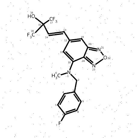 CN(Cc1ccc(F)cc1)c1cc(/C=C/C(O)(C(F)(F)F)C(F)(F)F)cc2nonc12